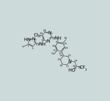 Cc1cc(Nc2nc(Nc3cc(C)c(C4CCCN(C[C@H](O)C(F)(F)F)C4)cc3C)ncc2Cl)n[nH]1